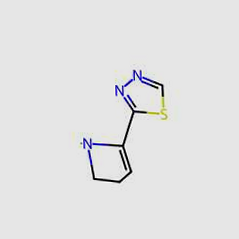 C1=C(c2nncs2)[N]CC1